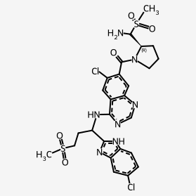 CS(=O)(=O)CCC(Nc1ncnc2cc(C(=O)N3CCC[C@@H]3C(N)S(C)(=O)=O)c(Cl)cc12)c1nc2cc(Cl)ccc2[nH]1